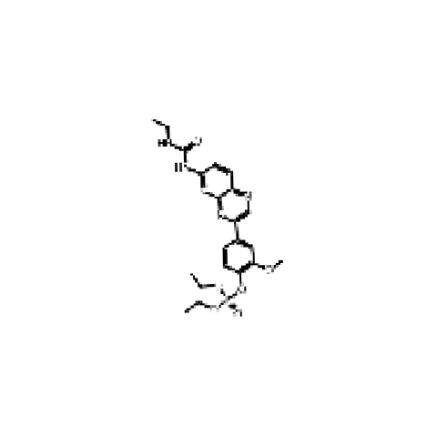 CCNC(=O)Nc1ccc2ncc(-c3ccc(OP(=O)(OCC)OCC)c(OC)c3)nc2n1